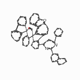 c1ccc(-c2cc(-c3cccc4c3-c3ccc5oc6ccccc6c5c3C43c4ccccc4C4(c5ccccc5-c5ccccc54)c4ccccc43)nc(-c3ccc4ccccc4c3)n2)cc1